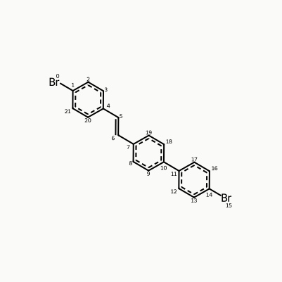 Brc1ccc(/C=C/c2ccc(-c3ccc(Br)cc3)cc2)cc1